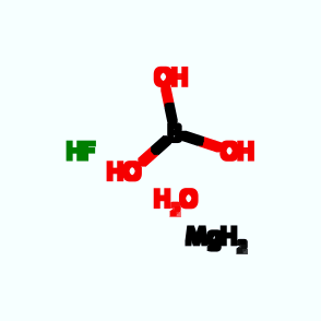 F.O.OB(O)O.[MgH2]